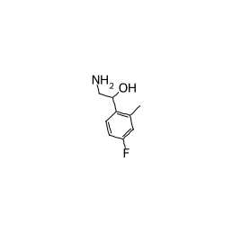 Cc1cc(F)ccc1C(O)CN